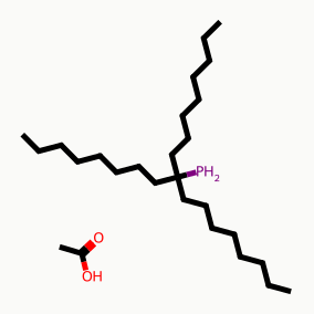 CC(=O)O.CCCCCCCCC(P)(CCCCCCCC)CCCCCCCC